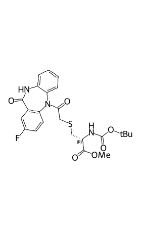 COC(=O)[C@H](CSCC(=O)N1c2ccccc2NC(=O)c2cc(F)ccc21)NC(=O)OC(C)(C)C